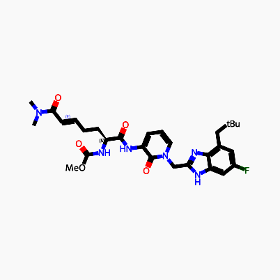 COC(=O)N[C@@H](CC/C=C/C(=O)N(C)C)C(=O)Nc1cccn(Cc2nc3c(CC(C)(C)C)cc(F)cc3[nH]2)c1=O